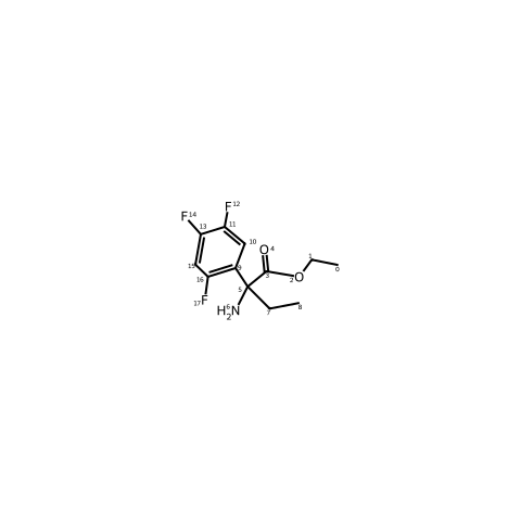 CCOC(=O)C(N)(CC)c1cc(F)c(F)cc1F